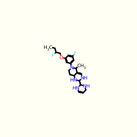 CCC(F)COc1cc(F)cc(N2CCC3NC(C4NC=CCN4)NC=C3C2C)c1